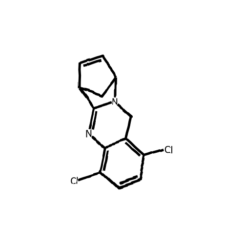 Clc1ccc(Cl)c2c1CN1C(=N2)C2C=CC1C2